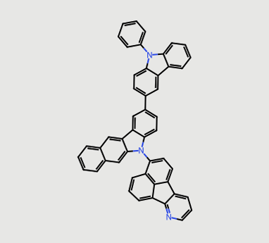 c1ccc(-n2c3ccccc3c3cc(-c4ccc5c(c4)c4cc6ccccc6cc4n5-c4ccc5c6c(cccc46)-c4ncccc4-5)ccc32)cc1